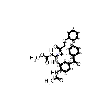 COC(=O)N/C(=N\C(=O)COc1ccccc1)Nc1cc(C(=O)c2ccccc2)ccc1NC(C)=O